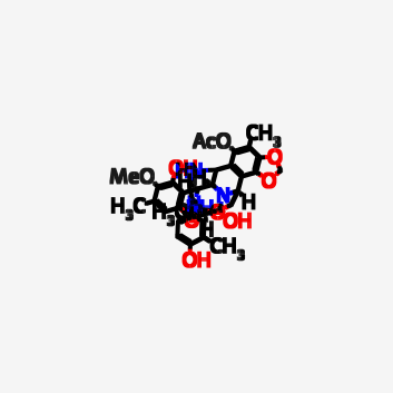 COc1c(C)cc2c(c1O)[C@@H]1[C@@H]3C4NCC5(NCCc6cc(O)c(C)cc65)C(=O)OC[C@@H](c5c6c(c(C)c(OC(C)=O)c54)OCO6)N3[C@@H](O)[C@H](C2)N1C